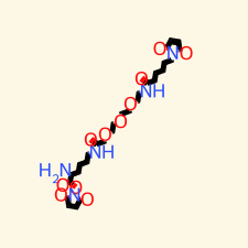 NC(CCCCNC(=O)COCCOCCOCCNC(=O)CCCCCN1C(=O)C=CC1=O)C(=O)ON1C(=O)CCC1=O